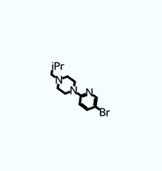 CC(C)CN1CCN(c2ccc(Br)cn2)CC1